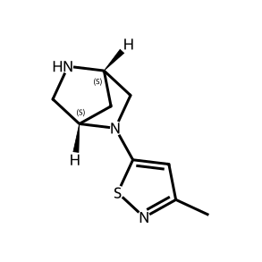 Cc1cc(N2C[C@@H]3C[C@H]2CN3)sn1